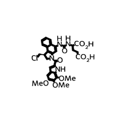 COc1cc2cc(C(=O)N3C[C@@H](CCl)c4c3cc(NC(=O)NC(CCC(=O)O)C(=O)O)c3ccccc43)[nH]c2c(OC)c1OC